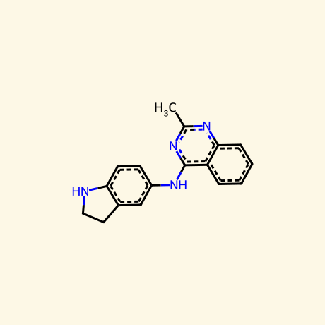 Cc1nc(Nc2ccc3c(c2)CCN3)c2ccccc2n1